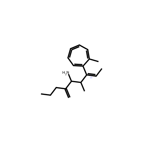 C=C(CCC)C(N)C(C)/C(=C/C)C1=CC=C=CC=C1C